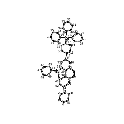 c1ccc(-c2cc3ccc4cc(-c5ccc([Si](c6ccccc6)(c6ccccc6)c6ccccc6)cc5)cc5c4c3c(c2)n5-c2ccccc2)cc1